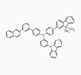 CC1(C)c2ccccc2-c2ccc(-c3ccc(N(c4ccc(-c5cccc(-c6ccc7ccccc7c6)c5)cc4)c4cccc(-n5c6ccccc6c6ccccc65)c4)cc3)cc21